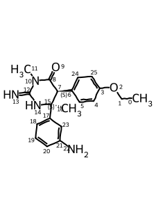 CCOc1ccc([C@@H]2C(=O)N(C)C(=N)N[C@]2(C)c2cccc(N)c2)cc1